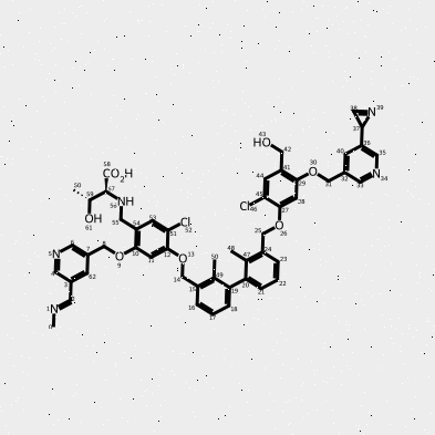 C/N=C/c1cncc(COc2cc(OCc3cccc(-c4cccc(COc5cc(OCc6cncc(C7C=N7)c6)c(CO)cc5Cl)c4C)c3C)c(Cl)cc2CN[C@H](C(=O)O)[C@@H](C)O)c1